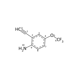 C#Cc1cc(OC(F)(F)F)ccc1N